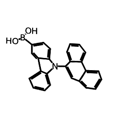 OB(O)c1ccc2c(c1)c1ccccc1n2-c1cc2ccccc2c2ccccc12